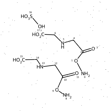 NOC(=O)CNCC(=O)O.NOC(=O)CNCC(=O)O.O=S(=O)(O)O